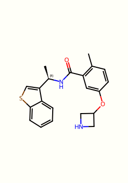 Cc1ccc(OC2CNC2)cc1C(=O)N[C@H](C)c1csc2ccccc12